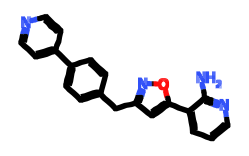 Nc1ncccc1-c1cc(Cc2ccc(-c3ccncc3)cc2)no1